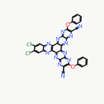 N#Cc1nc2nc3c4nc5cc(Cl)c(Cl)cc5nc4c4nc5nc(Oc6ccccc6)c(C#N)nc5nc4c3nc2nc1Oc1ccccc1